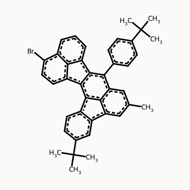 Cc1cc2c(-c3ccc(C(C)(C)C)cc3)c3c4cccc5c(Br)ccc(c54)c3c3c4ccc(C(C)(C)C)cc4c(c1)c23